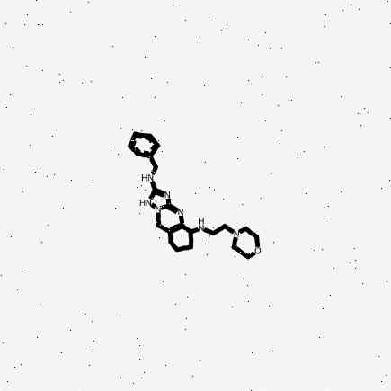 c1ccc(CNC2=NC3=NC4=C(CCCC4NCCN4CCOCC4)CN3N2)cc1